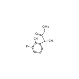 COCC(=O)C(C#N)c1cccc(F)c1C#N